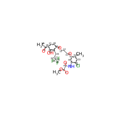 COC(=O)C(=O)Nc1cc(OCCCOc2ccc(C(C)=O)c(O)c2CCC(F)(F)F)c(C)cc1Cl